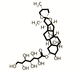 C[C@@H]1CC[C@]2(OC1)O[C@H]1C[C@H]3[C@@H]4CC[C@H]5C[C@@H](O)[C@H](OC(=O)[C@@H](O)[C@@H](O)[C@H](O)[C@H](O)[C@H](O)CO)C[C@]5(C)[C@H]4CC[C@]3(C)[C@H]1[C@@H]2C